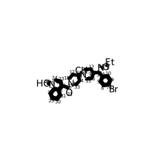 CCON=C(c1ccc(Br)cc1)C1CCN(C2(C)CCN(C(=O)c3cc[n+](O)c4ccccc34)CC2)CC1